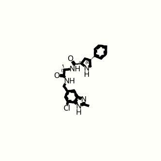 Cc1nc2cc(CNC(=O)[C@H](C)NC(=O)[C@H]3C[C@H](c4ccccc4)CN3)cc(Cl)c2[nH]1